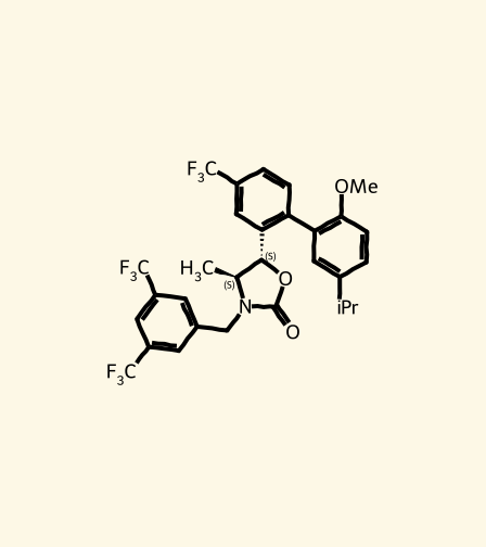 COc1ccc(C(C)C)cc1-c1ccc(C(F)(F)F)cc1[C@@H]1OC(=O)N(Cc2cc(C(F)(F)F)cc(C(F)(F)F)c2)[C@H]1C